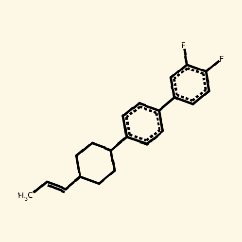 CC=CC1CCC(c2ccc(-c3ccc(F)c(F)c3)cc2)CC1